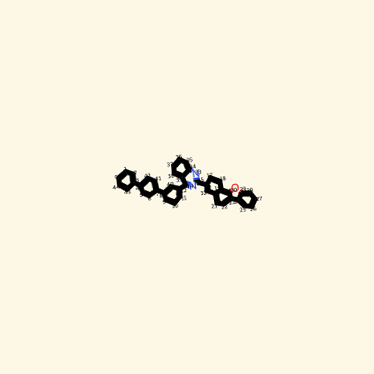 c1ccc(-c2ccc(-c3cccc(-c4nc(-c5ccc6c(ccc7c8ccccc8oc67)c5)nc5ccccc45)c3)cc2)cc1